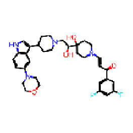 O=C(C=CN1CCC(O)(C(O)CN2CCC(c3c[nH]c4ccc(N5CCOCC5)cc34)CC2)CC1)c1cc(F)cc(F)c1